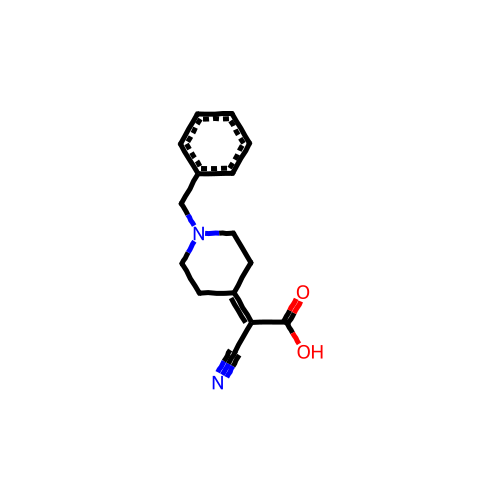 N#CC(C(=O)O)=C1CCN(Cc2ccccc2)CC1